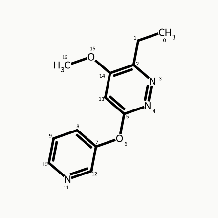 CCc1nnc(Oc2cccnc2)cc1OC